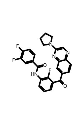 O=C(Nc1cccc(C(=O)c2ccc3ncc(N4CCCC4)nc3c2)c1F)c1ccc(F)c(F)c1